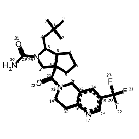 CC(C)(C)CC1C2CCCC2(C(=O)N2CCc3ncc(C(F)(F)F)cc3C2)CN1C(N)=O